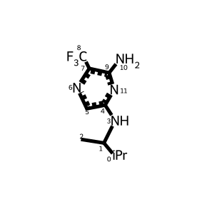 CC(C)C(C)Nc1cnc(C(F)(F)F)c(N)n1